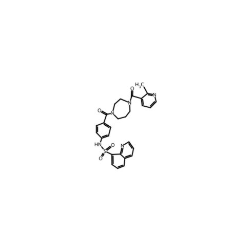 Cc1ncccc1C(=O)N1CCCN(C(=O)c2ccc(NS(=O)(=O)c3cccc4cccnc34)cc2)CC1